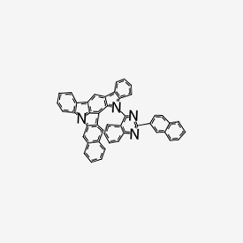 c1ccc2cc(-c3nc(-n4c5ccccc5c5cc6c7ccccc7n7c8cc9ccccc9cc8c(c54)c67)c4ccccc4n3)ccc2c1